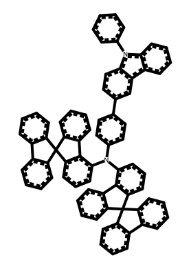 c1ccc(-n2c3ccccc3c3cc(-c4ccc(N(c5cccc6c5-c5ccccc5C65c6ccccc6-c6ccccc65)c5cccc6c5-c5ccccc5C65c6ccccc6-c6ccccc65)cc4)ccc32)cc1